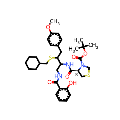 COc1ccc(CC(SCC2CCCCC2)C(CNC(=O)c2ccccc2O)NC(=O)[C@@H]2CSCN2C(=O)OC(C)(C)C)cc1